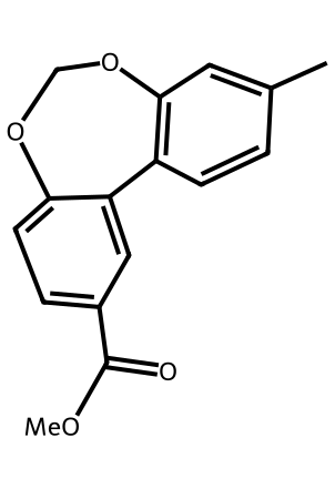 COC(=O)c1ccc2c(c1)-c1ccc(C)cc1OCO2